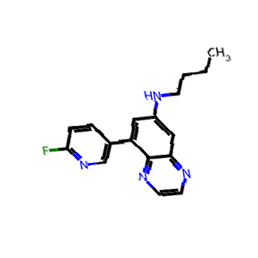 CCCCNc1cc(-c2ccc(F)nc2)c2nccnc2c1